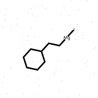 [I][Mg][CH2]CC1CCCCC1